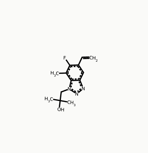 C=Cc1cc2nnn(CC(C)(C)O)c2c(C)c1F